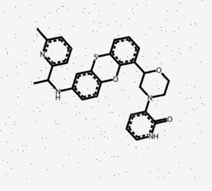 Cc1cccc(C(C)Nc2ccc3c(c2)Sc2cccc(C4CN(c5ccc[nH]c5=O)CCO4)c2O3)n1